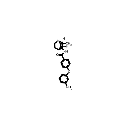 C[C@H]1[C@H](NC(=O)c2ccc(Oc3cccc(N)c3)cc2)C2CCN1CC2